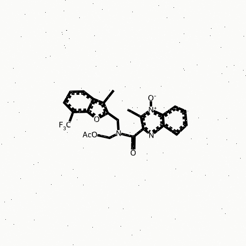 CC(=O)OCN(Cc1oc2c(C(F)(F)F)cccc2c1C)C(=O)c1nc2ccccc2[n+]([O-])c1C